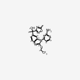 Cc1nc(C(C)(O)c2ccc3nc(OCC(F)(F)F)n(-c4ccnc(N)n4)c3c2)no1